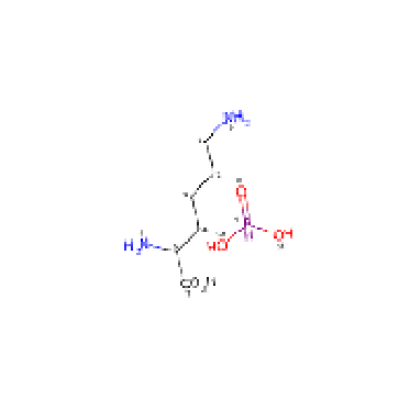 NCCCCC(N)C(=O)O.O=[PH](O)O